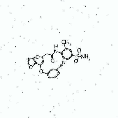 Cc1cc(S(N)(=O)=O)ccc1NC(=O)Cc1cc(Oc2cccc(C#N)c2)c2occc2c1